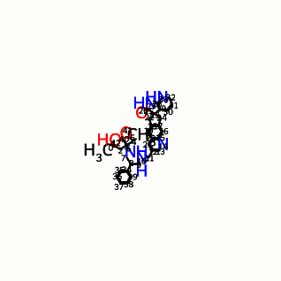 CCCC(CC)(NCC(CNCc1cnc2cc3c(cc2c1)C[C@@]1(C3)C(=O)NC2=C1C=CCN2)c1ccccc1)C(=O)O